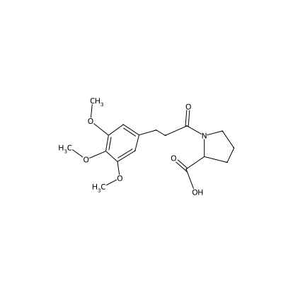 COc1cc(CCC(=O)N2CCCC2C(=O)O)cc(OC)c1OC